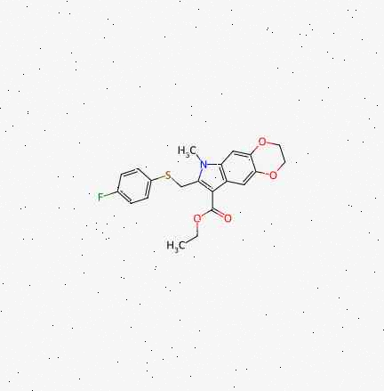 CCOC(=O)c1c(CSc2ccc(F)cc2)n(C)c2cc3c(cc12)OCCO3